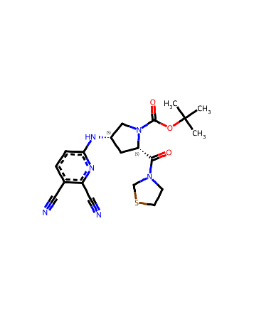 CC(C)(C)OC(=O)N1C[C@@H](Nc2ccc(C#N)c(C#N)n2)C[C@H]1C(=O)N1CCSC1